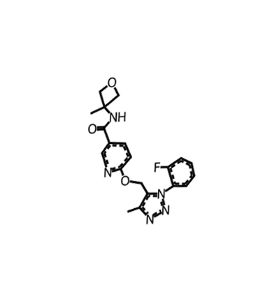 Cc1nnn(-c2ccccc2F)c1COc1ccc(C(=O)NC2(C)COC2)cn1